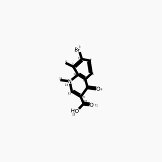 Cc1c(Br)ccc2c(=O)c(C(=O)O)cn(C)c12